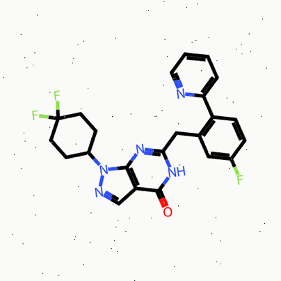 O=c1[nH]c(Cc2cc(F)ccc2-c2ccccn2)nc2c1cnn2C1CCC(F)(F)CC1